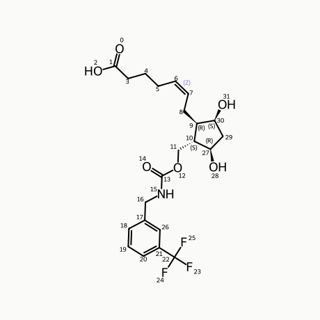 O=C(O)CCC/C=C\C[C@@H]1[C@@H](COC(=O)NCc2cccc(C(F)(F)F)c2)[C@H](O)C[C@@H]1O